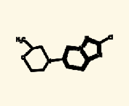 CC1CN(c2ccc3nc(Cl)nn3c2)CCO1